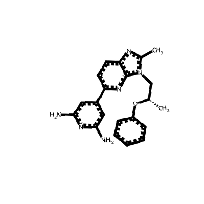 Cc1nc2ccc(-c3cc(N)nc(N)c3)nc2n1C[C@H](C)Oc1ccccc1